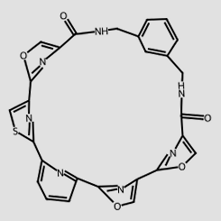 O=C1NCc2cccc(c2)CNC(=O)c2coc(n2)-c2csc(n2)-c2cccc(n2)-c2nc(co2)-c2nc1co2